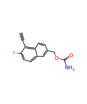 C#Cc1c(F)ccc2cc(COC(N)=O)ccc12